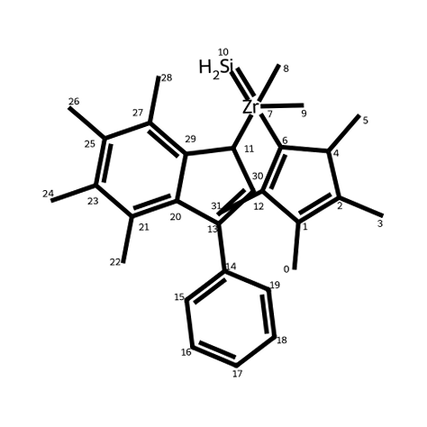 CC1=C(C)C(C)[C]([Zr]([CH3])([CH3])(=[SiH2])[CH]2C=C(c3ccccc3)c3c(C)c(C)c(C)c(C)c32)=C1C